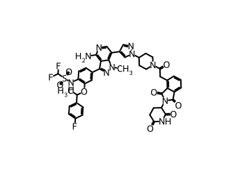 CC(Oc1cc(-c2nn(C)c3c(-c4cnn(C5CCN(C(=O)Cc6cccc7c6C(=O)N(C6CCC(=O)NC6=O)C7=O)CC5)c4)cnc(N)c23)ccc1NS(=O)(=O)C(F)F)c1ccc(F)cc1